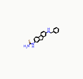 NC(=S)Nc1ccc2c(c1)Cc1cc(NCc3ccccc3)ccc1-2